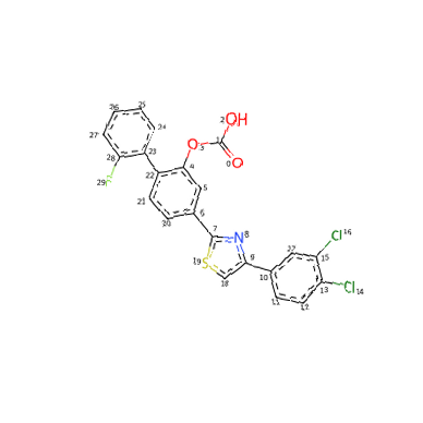 O=C(O)Oc1cc(-c2nc(-c3ccc(Cl)c(Cl)c3)cs2)ccc1-c1ccccc1F